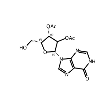 CC(=O)OC1[C@@H](OC(C)=O)[C@@H](CO)O[C@H]1n1cnc2c(=O)[nH]cnc21